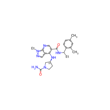 CCC(NC(=O)c1cnc2c(cnn2CC)c1N[C@H]1CCN(C(N)=O)C1)c1ccc(C)cc1C